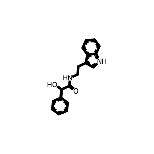 O=C(NCCc1c[nH]c2ccccc12)C(O)c1ccccc1